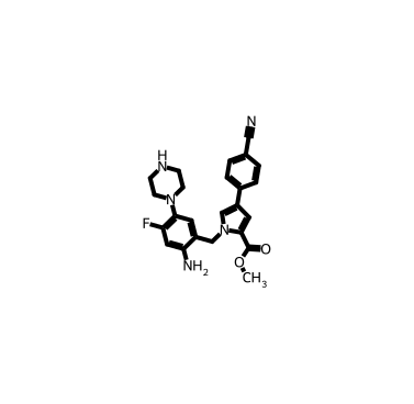 COC(=O)c1cc(-c2ccc(C#N)cc2)cn1Cc1cc(N2CCNCC2)c(F)cc1N